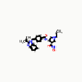 CCCN1C[C@H](C(=O)NO)[C@H](NC(=O)c2ccc(Cn3c(C(C)C)nc4ccccc43)cc2)C1